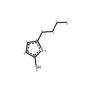 CCCCc1ccc(S)s1